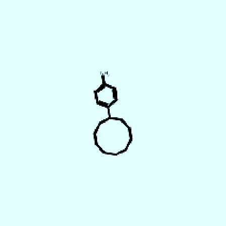 Nc1ccc(C2CCCCCCCCC2)cc1